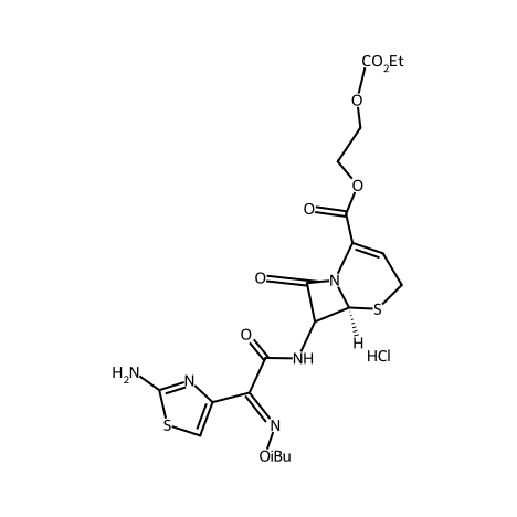 CCOC(=O)OCCOC(=O)C1=CCS[C@H]2C(NC(=O)C(=NOCC(C)C)c3csc(N)n3)C(=O)N12.Cl